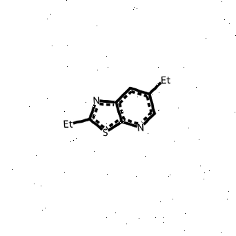 CCc1cnc2sc(CC)nc2c1